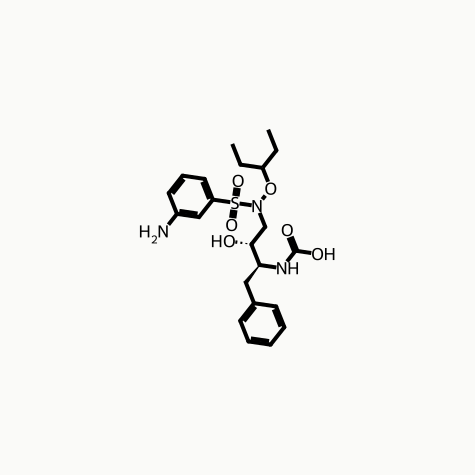 CCC(CC)ON(C[C@@H](O)[C@H](Cc1ccccc1)NC(=O)O)S(=O)(=O)c1cccc(N)c1